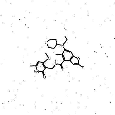 CCN(c1cc2oc(F)cc2c(C(=O)NCc2c(OC)cc(C)[nH]c2=O)c1C)C1CCOCC1